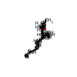 CCCC(I)(CC)SC1CC(=O)N(C2(C(=O)NCCC(=O)Nc3cc(COC(=O)Nc4cccc(C(=O)N5CCC(CCCCNC(=O)/C=C/c6cccnc6)CC5)c4)ccc3OC3OC(C(=O)O)C(O)[C@H](O)[C@@H]3O)CNC2)C1=O